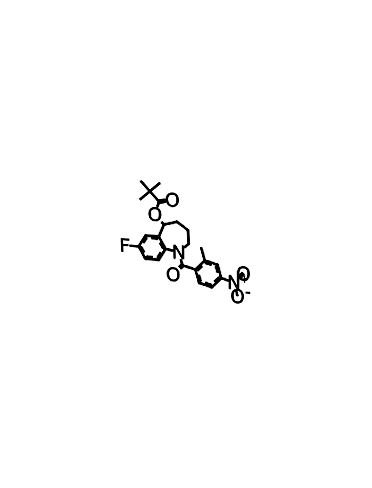 Cc1cc([N+](=O)[O-])ccc1C(=O)N1CCCC(OC(=O)C(C)(C)C)c2cc(F)ccc21